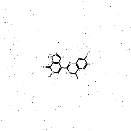 CC(NC(=O)c1cn(C)c(=O)c2[nH]ccc12)c1ccc(F)cc1